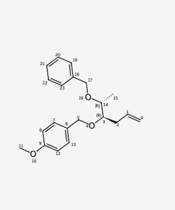 C=CC[C@@H](OCc1ccc(OC)cc1)[C@@H](C)OCc1ccccc1